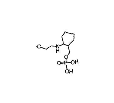 [O]CCNC1CCCCC1COP(=O)(O)O